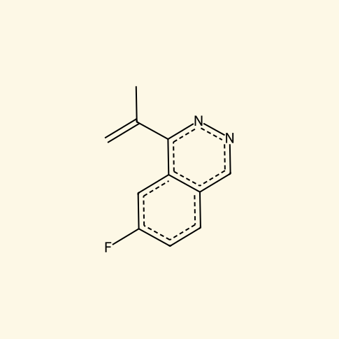 C=C(C)c1nncc2ccc(F)cc12